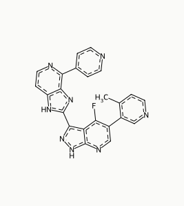 Cc1ccncc1-c1cnc2[nH]nc(-c3nc4c(-c5ccncc5)nccc4[nH]3)c2c1F